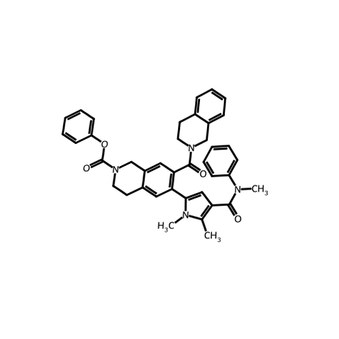 Cc1c(C(=O)N(C)c2ccccc2)cc(-c2cc3c(cc2C(=O)N2CCc4ccccc4C2)CN(C(=O)Oc2ccccc2)CC3)n1C